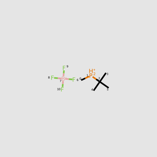 C[PH2+]C(C)(C)C.F[B-](F)(F)F